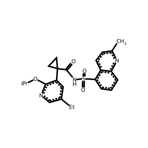 CCc1cnc(OC(C)C)c(C2(C(=O)NS(=O)(=O)c3cccc4nc(C)ccc34)CC2)c1